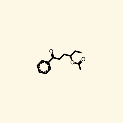 CCC(CCC(=O)c1ccccc1)OC(C)=O